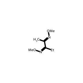 CCC(=NOC)C(C)=NOC